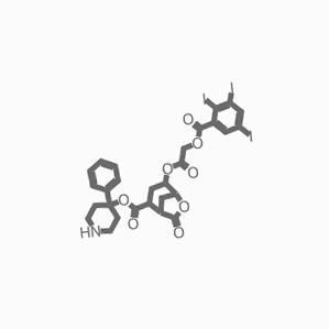 O=C(COC(=O)c1cc(I)cc(I)c1I)OC1CC(C(=O)OC2(c3ccccc3)CCNCC2)C2CC1OC2=O